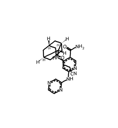 N#CCCO[C@]12C[C@@H]3C[C@H](C1)[C@@H](Nc1cc(Nc4cnccn4)ncc1C(N)=O)[C@@H](C3)C2